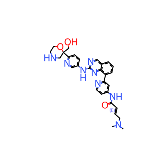 CN(C)C/C=C/C(=O)Nc1ccnc(-c2cccc3cnc(Nc4ccc(C5(CO)CNCCO5)nc4)nc23)c1